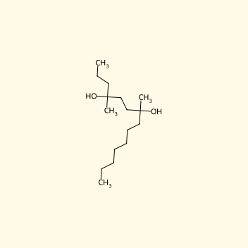 CCCCCCCC(C)(O)CCC(C)(O)CCC